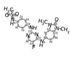 Cn1c(=O)n(C)c2cc(Nc3nc(Nc4ccc(NS(C)(=O)=O)cc4)ncc3F)ccc21